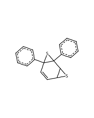 C1=CC2(c3ccccc3)SC2(c2ccccc2)C2SC12